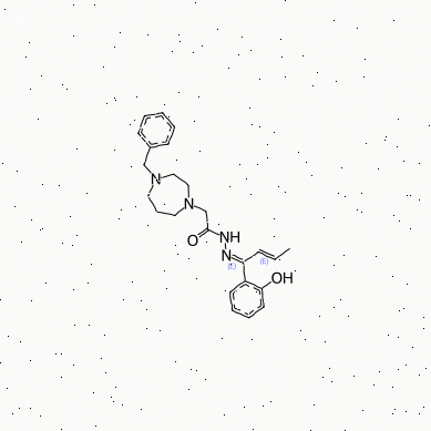 C/C=C/C(=N\NC(=O)CN1CCCN(Cc2ccccc2)CC1)c1ccccc1O